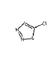 Clc1[c]nns1